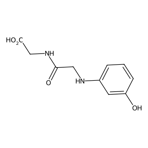 O=C(O)CNC(=O)CNc1cccc(O)c1